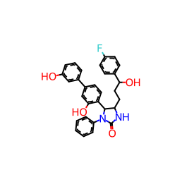 O=C1NC(CCC(O)c2ccc(F)cc2)C(c2ccc(-c3cccc(O)c3)cc2O)N1c1ccccc1